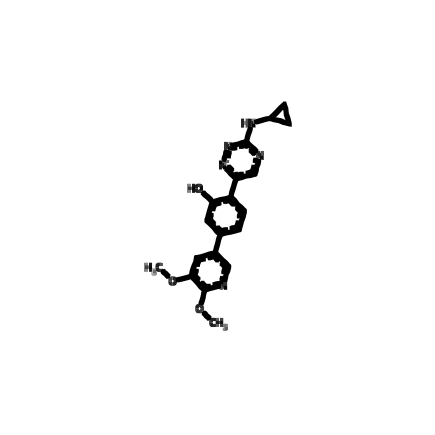 COc1cc(-c2ccc(-c3cnc(NC4CC4)nn3)c(O)c2)cnc1OC